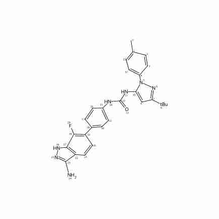 Cc1ccc(-n2nc(C(C)(C)C)cc2NC(=O)Nc2ccc(-c3ccc4c(N)n[nH]c4c3F)cc2)cc1